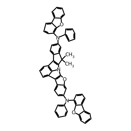 CC1(C)c2cc(N(c3ccccc3)c3cccc4c3oc3ccccc34)ccc2-c2c1n1c3oc4cc(N(c5ccccc5)c5cccc6c5oc5ccccc56)ccc4c3c3cccc2c31